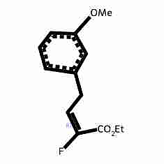 CCOC(=O)/C(F)=C\Cc1cccc(OC)c1